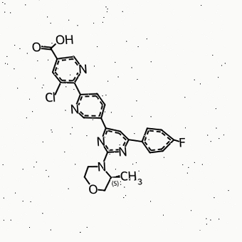 C[C@H]1COCCN1c1nc(-c2ccc(F)cc2)cc(-c2ccc(-c3ncc(C(=O)O)cc3Cl)nc2)n1